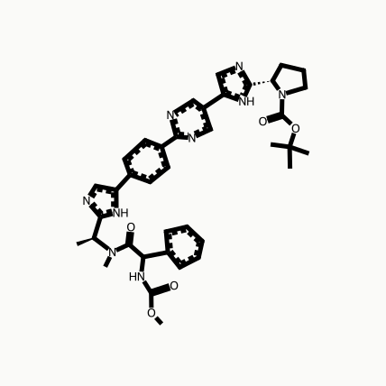 COC(=O)NC(C(=O)N(C)[C@@H](C)c1ncc(-c2ccc(-c3ncc(-c4cnc([C@@H]5CCCN5C(=O)OC(C)(C)C)[nH]4)cn3)cc2)[nH]1)c1ccccc1